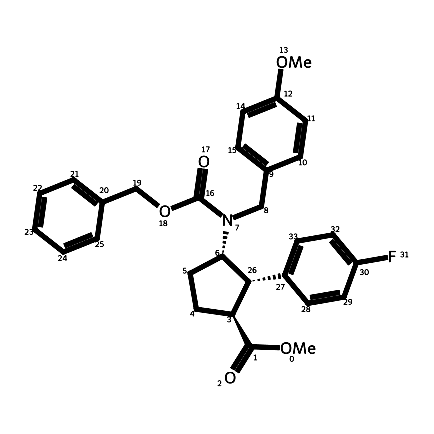 COC(=O)[C@H]1CC[C@H](N(Cc2ccc(OC)cc2)C(=O)OCc2ccccc2)[C@@H]1c1ccc(F)cc1